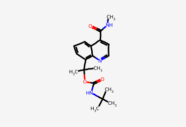 CNC(=O)c1ccnc2c(C(C)(C)OC(=O)NC(C)(C)C)cccc12